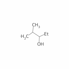 [CH2]C(C)C(O)CC